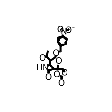 CC(=O)C(C(=O)OCc1ccc([N+](=O)[O-])cc1)C1NC(=O)C1C1(C)COC(=O)O1